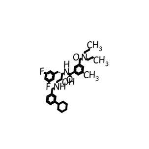 CCCN(CCC)C(=O)c1cc(C)cc(C(=O)N[C@@H](Cc2cc(F)cc(F)c2)[C@H](O)CNCc2cccc(C3CCCCC3)c2)c1